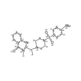 CC(c1nc2ccccc2c(=O)n1C)N1CCN(S(=O)(=O)c2ccc(C(C)(C)C)cc2)CC1